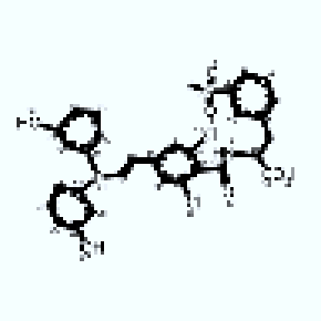 CS(=O)(=O)c1cccc(CC(NC(=O)c2c(Cl)cc(/C=C/P(c3cccc(O)c3)c3cccc(O)c3)cc2Cl)C(=O)O)c1